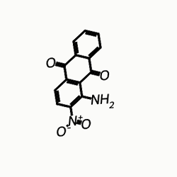 Nc1c([N+](=O)[O-])ccc2c1C(=O)c1ccccc1C2=O